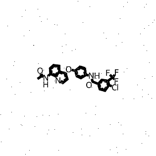 CC(=O)Nc1cccc2c(Oc3ccc(NC(=O)c4ccc(Cl)c(C(F)(F)F)c4)cc3)ccnc12